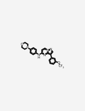 FC(F)(F)Oc1cccc(-c2cnn3ccc(Nc4ccc(N5CCOCC5)cc4)nc23)c1